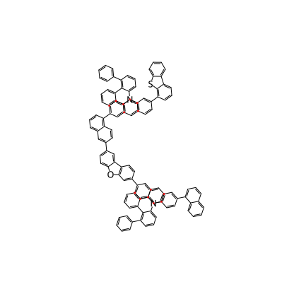 c1ccc(-c2ccccc2-c2c(-c3ccccc3)cccc2N(c2ccc(-c3ccc4c(c3)oc3ccc(-c5ccc6c(-c7ccc(N(c8cccc(-c9cccc%10c9sc9ccccc9%10)c8)c8cccc(-c9ccccc9)c8-c8ccccc8-c8ccccc8)cc7)cccc6c5)cc34)cc2)c2ccc(-c3cccc4ccccc34)cc2)cc1